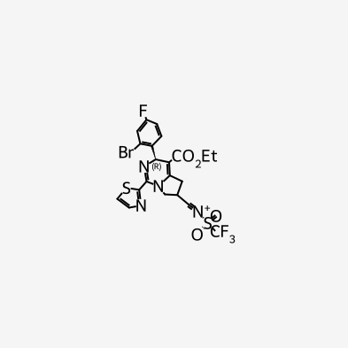 CCOC(=O)C1=C2CC(C#[N+]S(=O)(=O)C(F)(F)F)CN2C(c2nccs2)=N[C@H]1c1ccc(F)cc1Br